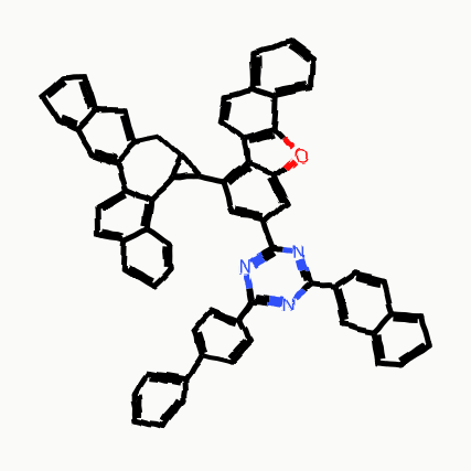 c1ccc(-c2ccc(-c3nc(-c4ccc5ccccc5c4)nc(-c4cc(C5C6Cc7cc8ccccc8cc7-c7ccc8ccccc8c7C65)c5c(c4)oc4c6ccccc6ccc45)n3)cc2)cc1